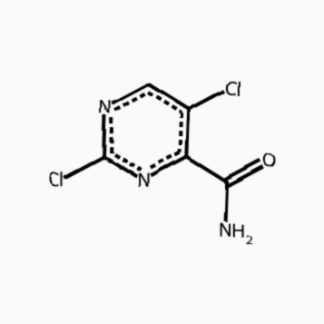 NC(=O)c1nc(Cl)ncc1Cl